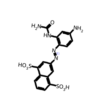 NC(=O)Nc1cc(N)ccc1/N=N/c1cc(S(=O)(=O)O)c2cccc(S(=O)(=O)O)c2c1